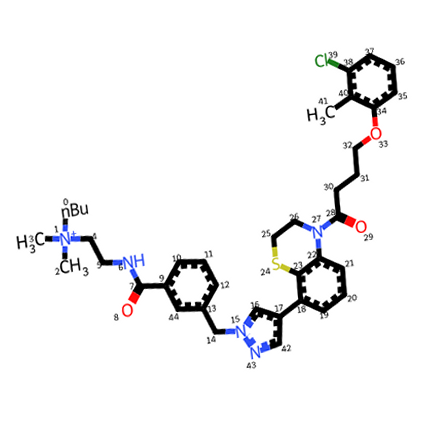 CCCC[N+](C)(C)CCNC(=O)c1cccc(Cn2cc(-c3cccc4c3SCCN4C(=O)CCCOc3cccc(Cl)c3C)cn2)c1